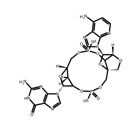 Nc1nc2c(ncn2[C@@H]2O[C@@H]3COP(=O)(S)OC4[C@H]5OC[C@]4(COP(=O)(S)OC2[C@@H]3F)O[C@H]5n2cnc3c(N)ccnc32)c(=O)[nH]1